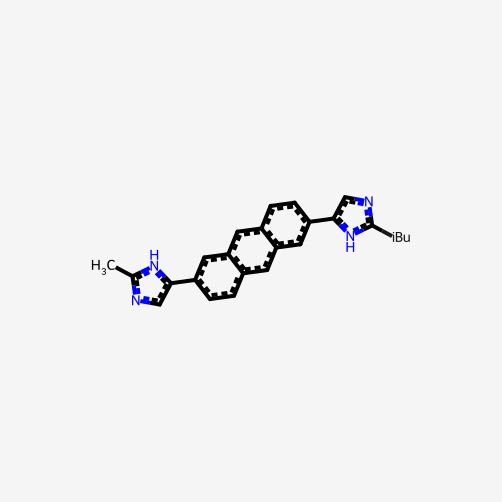 CCC(C)c1ncc(-c2ccc3cc4cc(-c5cnc(C)[nH]5)ccc4cc3c2)[nH]1